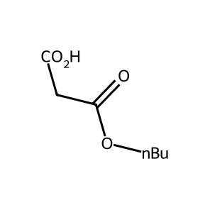 CCCCOC(=O)CC(=O)O